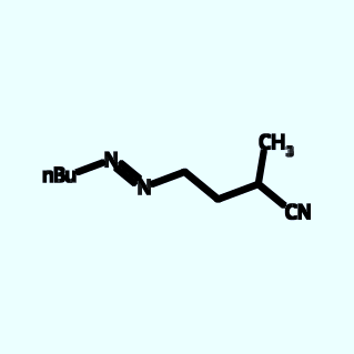 CCCCN=NCCC(C)C#N